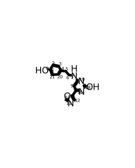 Oc1ccc(CCNc2cc(-c3cnco3)nc(O)n2)cc1